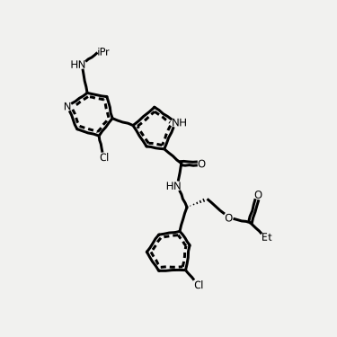 CCC(=O)OC[C@@H](NC(=O)c1cc(-c2cc(NC(C)C)ncc2Cl)c[nH]1)c1cccc(Cl)c1